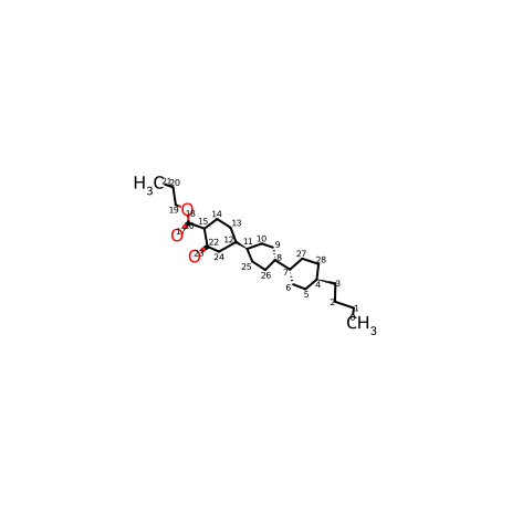 CCCC[C@H]1CC[C@H]([C@H]2CC[C@H](C3CCC(C(=O)OCCC)C(=O)C3)CC2)CC1